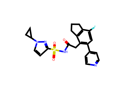 O=C(Cc1c(-c2ccncc2)cc(F)c2c1CCC2)NS(=O)(=O)c1ccn(C2CC2)n1